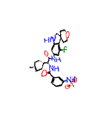 CS(=O)(=O)Nc1cccc(C(=O)N[C@H](C(=O)Nc2cc(F)c3c(c2)NCC32CCOCC2)[C@H]2CC[C@H](C)CC2)c1